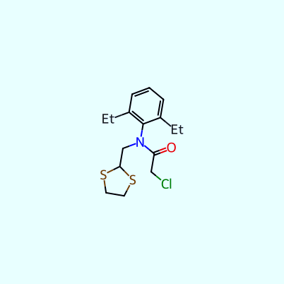 CCc1cccc(CC)c1N(CC1SCCS1)C(=O)CCl